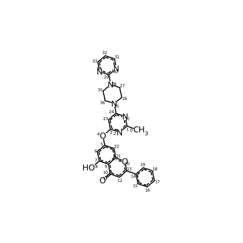 Cc1nc(Oc2cc(O)c3c(=O)cc(-c4ccccc4)oc3c2)cc(N2CCN(c3ncccn3)CC2)n1